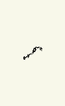 C(=C\c1nc(COc2ccc(CCCn3ccnc3)cc2)co1)/c1ccccc1